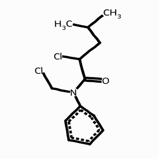 CC(C)CC(Cl)C(=O)N(CCl)c1ccccc1